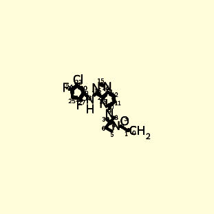 C=CC(=O)N1CCC12CN(c1ccc3ncnc(Nc4cc(Cl)c(F)cc4F)c3n1)C2